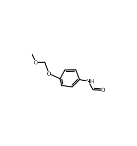 COCOc1ccc(NC=O)cc1